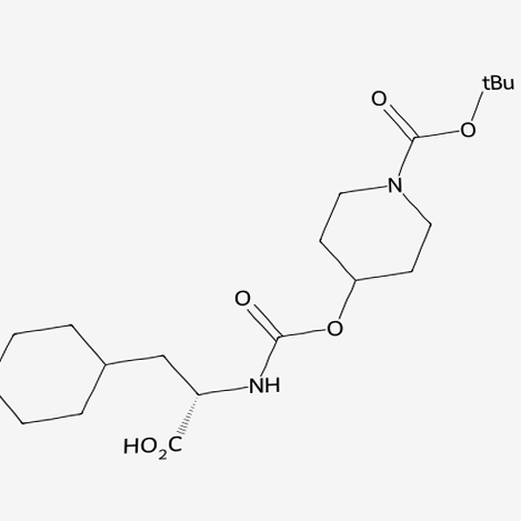 CC(C)(C)OC(=O)N1CCC(OC(=O)N[C@@H](CC2CCCCC2)C(=O)O)CC1